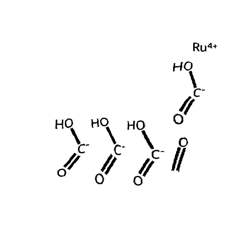 O=[C-]O.O=[C-]O.O=[C-]O.O=[C-]O.[C]=O.[Ru+4]